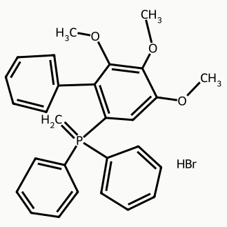 Br.C=P(c1ccccc1)(c1ccccc1)c1cc(OC)c(OC)c(OC)c1-c1ccccc1